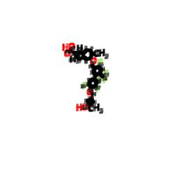 C=C1CC=C2C(=CC1OCc1cc(-c3cc(F)c(OC[C@H]4C[C@@](C)(O)C4)c(F)c3)c(C(F)(F)F)cc1F)C[C@H]1[C@H](C(=O)O)[C@@H]21